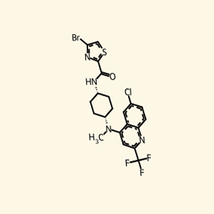 CN(c1cc(C(F)(F)F)nc2ccc(Cl)cc12)[C@H]1CC[C@@H](NC(=O)c2nc(Br)cs2)CC1